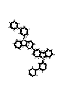 C1=CCCC(c2cccc(-n3c4ccccc4c4cc(C5=CC=C6C(C5)c5ccccc5N6c5cccc(-c6ccccc6)c5)ccc43)c2)=C1